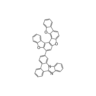 c1ccc2c(c1)nc1c3ccccc3c3ccc(-c4cc5oc6ccc7c8ccccc8oc7c6c5c5c4oc4ccccc45)cc3n21